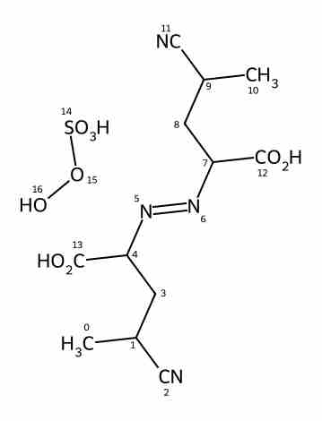 CC(C#N)CC(/N=N/C(CC(C)C#N)C(=O)O)C(=O)O.O=S(=O)(O)OO